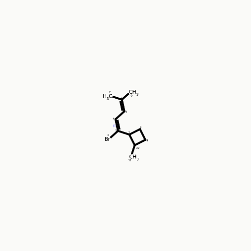 CC(C)=C/C=C(/Br)C1CCC1C